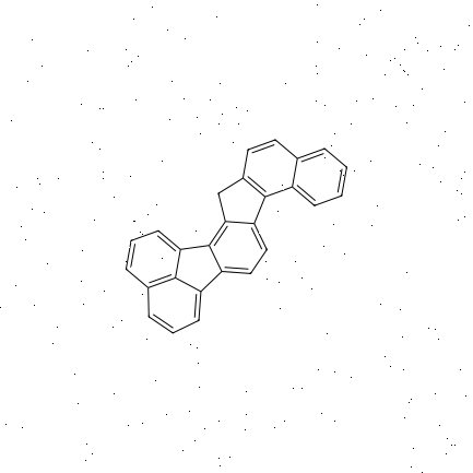 c1ccc2c3c(ccc2c1)Cc1c-3ccc2c1-c1cccc3cccc-2c13